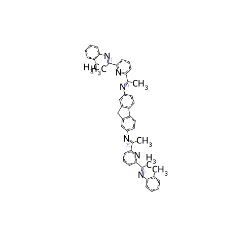 C/C(=N\c1ccc2c(c1)Cc1cc(/N=C(\C)c3cccc(/C(C)=N/c4ccccc4C)n3)ccc1-2)c1cccc(/C(C)=N/c2ccccc2C)n1